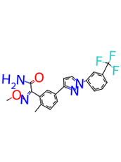 CON=C(C(N)=O)c1cc(-c2ccn(-c3cccc(C(F)(F)F)c3)n2)ccc1C